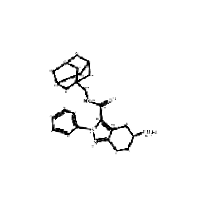 CCOC(=O)C1CCc2nn(-c3ccccc3)c(C(=O)NCC34CC5CC(CC(C5)C3)C4)c2C1